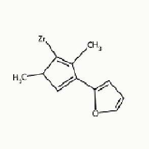 CC1=[C]([Zr])C(C)C=C1c1ccco1